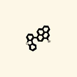 Brc1cc2cccc3ccc4c(-c5cccc6oc7ccccc7c56)ccc1c4c32